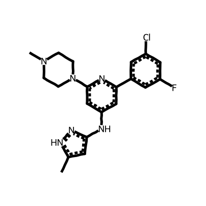 Cc1cc(Nc2cc(-c3cc(F)cc(Cl)c3)nc(N3CCN(C)CC3)c2)n[nH]1